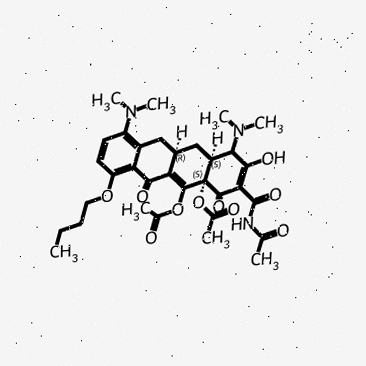 CCCCOc1ccc(N(C)C)c2c1C(=O)C1=C(OC(C)=O)[C@]3(OC(C)=O)C(=O)C(C(=O)NC(C)=O)=C(O)C(N(C)C)[C@@H]3C[C@@H]1C2